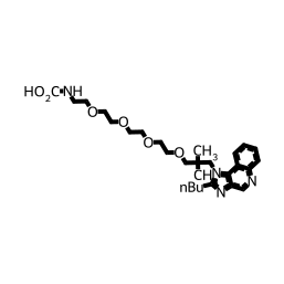 CCCCc1nc2cnc3ccccc3c2n1CC(C)(C)COCCOCCOCCOCCNC(=O)O